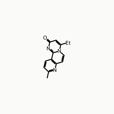 CCc1cc(=O)nc2c3ccc(C)nc3ccn12